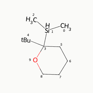 C[SiH](C)C1(C(C)(C)C)CCCCO1